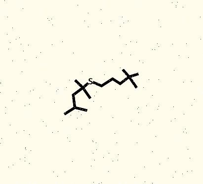 CC(C)CC(C)(C)SCCCC(C)(C)C